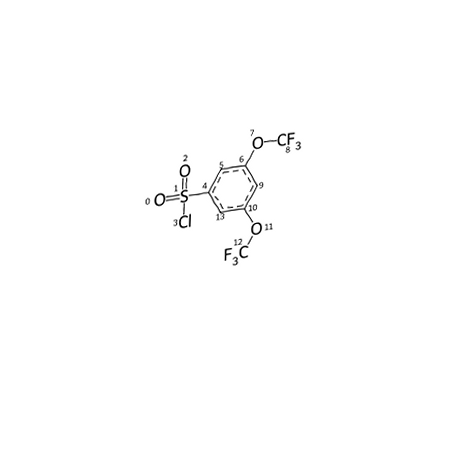 O=S(=O)(Cl)c1cc(OC(F)(F)F)cc(OC(F)(F)F)c1